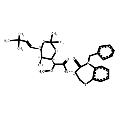 COC(C(=O)N[C@H]1CSc2ccccc2N(Cc2ccccc2)C1=O)[C@@H]1OC(C)(C)O[C@H](C=CC(C)(C)C)[C@@H]1O